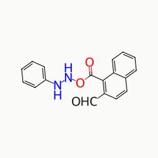 O=Cc1ccc2ccccc2c1C(=O)ONNc1ccccc1